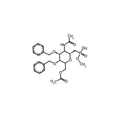 COP(=O)(O)C[C@H]1OC(COC(C)=O)[C@@H](OCc2ccccc2)[C@@H](OCc2ccccc2)C1NC(C)=O